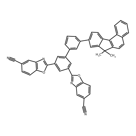 CC1(C)c2cc(-c3cccc(-c4cc(-c5nc6cc(C#N)ccc6o5)cc(-c5nc6cc(C#N)ccc6o5)c4)c3)ccc2-c2c1ccc1ccccc21